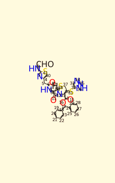 O=CNc1nc(CC(=O)N[C@@H]2C(=O)N3C(C(=O)OC(c4ccccc4)c4ccccc4)=C(Sc4cnn[nH]4)CS[C@@H]23)cs1